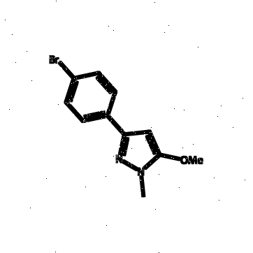 COc1cc(-c2ccc(Br)cc2)nn1C